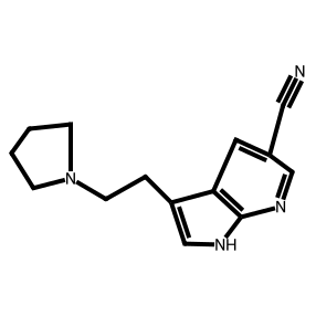 N#Cc1cnc2[nH]cc(CCN3CCCC3)c2c1